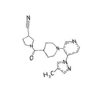 Cc1cnn(-c2ccncc2N2CCC(C(=O)N3CCC(C#N)C3)CC2)c1